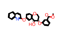 COC(=O)c1cccc(O[C@@H]2CCOc3ccc(Oc4ccc5ccccc5n4)cc3[C@@H]2O)c1